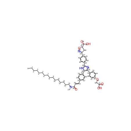 CCCCCCCCCCCCCCCCN(C)C(=O)C=Cc1ccc(-c2[nH]c(-c3ccc(C4=NOC(C(=O)O)C4)cc3)nc2-c2ccc(OCC(=O)O)cc2)cc1